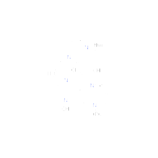 CC(CC1CCN(C)CCN1C(C)(C)CN1CCCN(C(C)(C)C)CC1)N1CCCN(C(C)(C)C)CC1